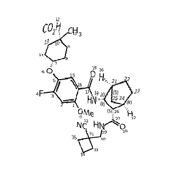 COc1cc(F)c(O[C@H]2CC[C@@](C)(C(=O)O)CC2)cc1C(=O)N[C@@H]1[C@H]2CC[C@H](C2)[C@@H]1C(=O)NCC1(C#N)CCC1